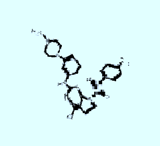 Cc1ccc(S(=O)(=O)n2ccc3c(Cl)nc(Nc4cccc(N5CCN(C)CC5)c4)nc32)cc1